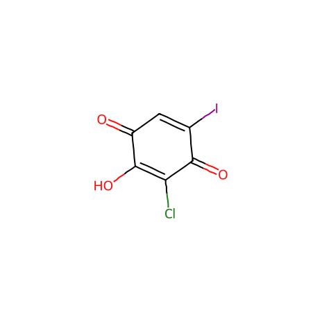 O=C1C=C(I)C(=O)C(Cl)=C1O